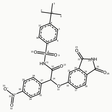 CC(C)(C)c1ccc(S(=O)(=O)NC(=O)C(Oc2ccc3c(c2)C(=O)NC3=O)c2ccc([N+](=O)[O-])cc2)cc1